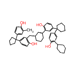 Cc1cc(C2(c3ccc(O)c(CC4CCCC(c5cc(C6(c7ccc(O)c(C8CCCCC8)c7)CCCCC6)ccc5O)C4)c3)CCCC2)ccc1O